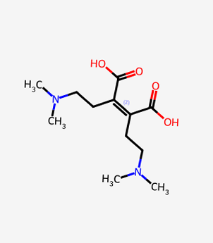 CN(C)CC/C(C(=O)O)=C(\CCN(C)C)C(=O)O